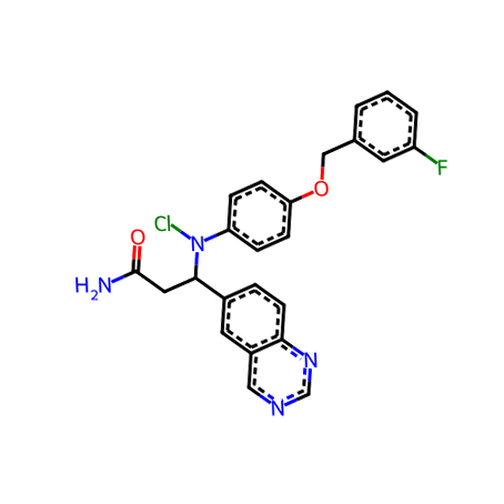 NC(=O)CC(c1ccc2ncncc2c1)N(Cl)c1ccc(OCc2cccc(F)c2)cc1